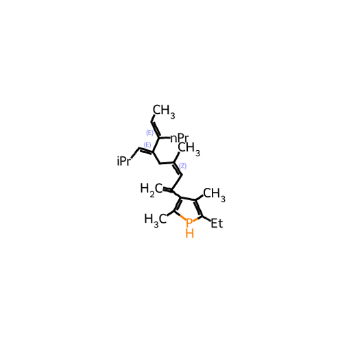 C=C(/C=C(/C)CC(=C\C(C)C)/C(=C/C)CCC)c1c(C)[pH]c(CC)c1C